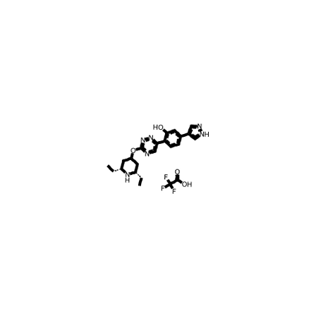 CC[C@@H]1CC(Oc2ncc(-c3ccc(-c4cn[nH]c4)cc3O)nn2)C[C@H](CC)N1.O=C(O)C(F)(F)F